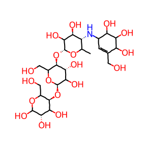 CC1O[C@H](O[C@@H]2C(CO)O[C@H](O[C@@H]3C(CO)OC(O)[C@@H](O)C3O)C(O)[C@H]2O)C(O)[C@@H](O)[C@@H]1NC1C=C(CO)C(O)C(O)C1O